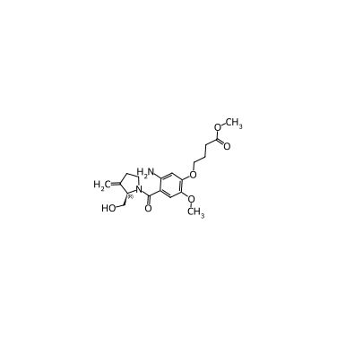 C=C1CCN(C(=O)c2cc(OC)c(OCCCC(=O)OC)cc2N)[C@H]1CO